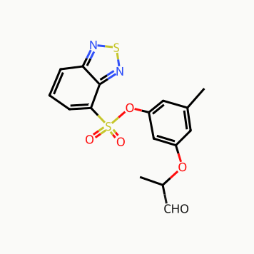 Cc1cc(OC(C)C=O)cc(OS(=O)(=O)c2cccc3nsnc23)c1